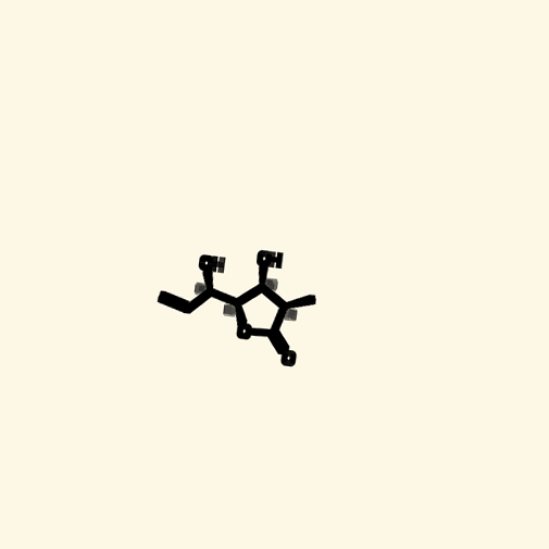 C=C[C@@H](O)[C@@H]1OC(=O)[C@H](C)[C@@H]1O